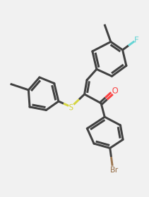 Cc1ccc(S/C(=C/c2ccc(F)c(C)c2)C(=O)c2ccc(Br)cc2)cc1